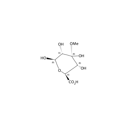 CO[C@]1(O)[C@H](O)[C@@H](C(=O)O)O[C@@H](O)[C@@H]1O